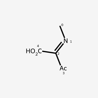 C/N=C(/C(C)=O)C(=O)O